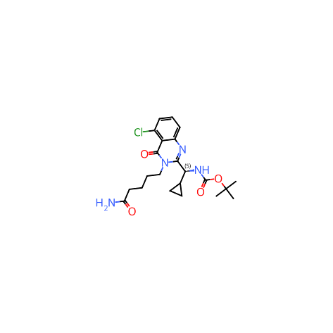 CC(C)(C)OC(=O)N[C@H](c1nc2cccc(Cl)c2c(=O)n1CCCCC(N)=O)C1CC1